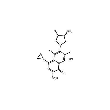 Cc1c(N2C[C@@H](C)[C@@H](N)C2)c(F)cn2c(=O)c(C(=O)O)cc(C3CC3)c12.Cl